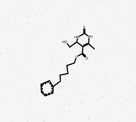 CC1=C(C(=O)OCCCCCc2ccccc2)C(CO)NC(=S)N1